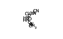 Cn1ncc2cc(NC(=O)Nc3ccc(Oc4ccnc(C#N)c4)c(Cl)c3)ccc21